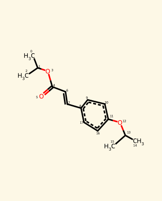 CC(C)OC(=O)C=Cc1ccc(OC(C)C)cc1